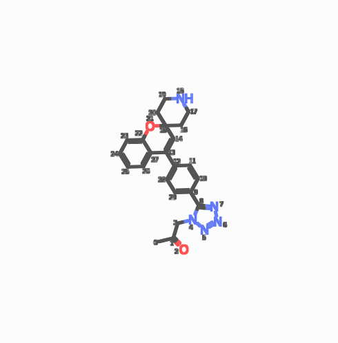 CC(=O)Cn1nnnc1-c1ccc(C2=CC3(CCNCC3)Oc3ccccc32)cc1